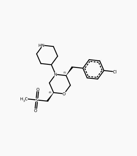 CS(=O)(=O)C[C@H]1CN(C2CCNCC2)[C@@H](Cc2ccc(Cl)cc2)CO1